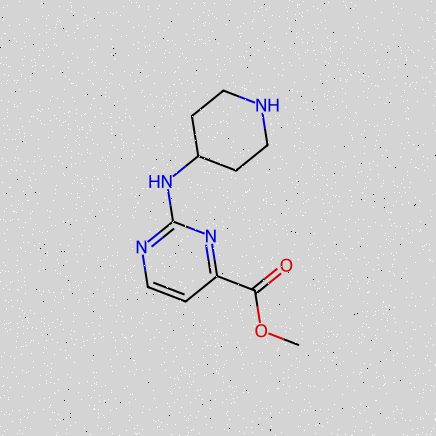 COC(=O)c1ccnc(NC2CCNCC2)n1